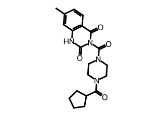 Cc1ccc2c(=O)n(C(=O)N3CCN(C(=O)C4CCCC4)CC3)c(=O)[nH]c2c1